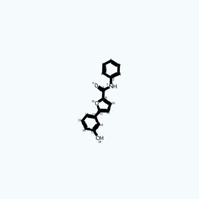 O=C(Nc1ccccc1)c1ccc(-c2cccc(O)c2)o1